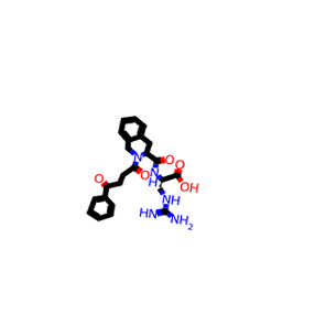 N=C(N)NC[C@H](NC(=O)C1Cc2ccccc2CN1C(=O)CCC(=O)c1ccccc1)C(=O)O